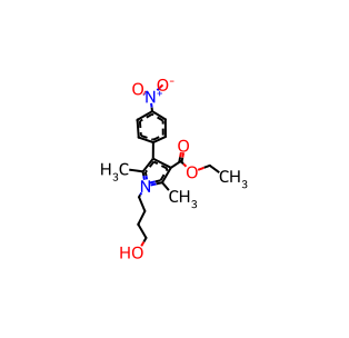 CCOC(=O)c1c(-c2ccc([N+](=O)[O-])cc2)c(C)n(CCCCO)c1C